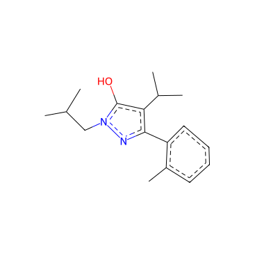 Cc1ccccc1-c1nn(CC(C)C)c(O)c1C(C)C